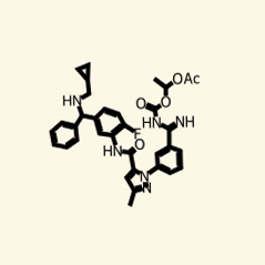 CC(=O)OC(C)OC(=O)NC(=N)c1cccc(-n2nc(C)cc2C(=O)Nc2cc(C(NCC3CC3)c3ccccc3)ccc2F)c1